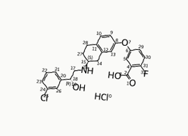 Cl.O=C(O)c1cc(Oc2ccc3c(c2)C[C@@H](NC[C@H](O)c2cccc(Cl)c2)CC3)ccc1F